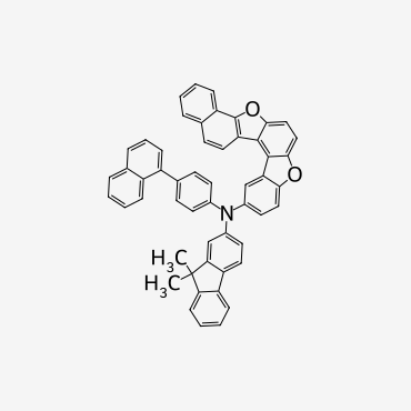 CC1(C)c2ccccc2-c2ccc(N(c3ccc(-c4cccc5ccccc45)cc3)c3ccc4oc5ccc6oc7c8ccccc8ccc7c6c5c4c3)cc21